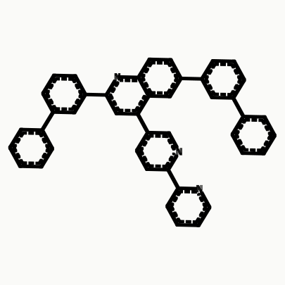 c1ccc(-c2cccc(-c3ccc4nc(-c5cccc(-c6ccccc6)c5)cc(-c5ccc(-c6ccccn6)nc5)c4c3)c2)cc1